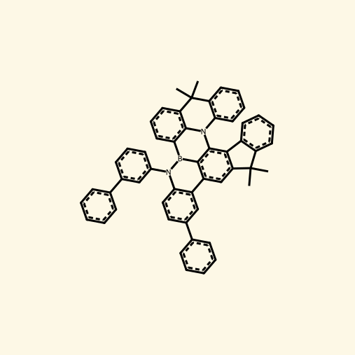 CC1(C)c2ccccc2-c2c1cc1c3c2N2c4ccccc4C(C)(C)c4cccc(c42)B3N(c2cccc(-c3ccccc3)c2)c2ccc(-c3ccccc3)cc2-1